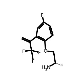 C=C(c1cc(F)ccc1OC[C@H](C)N)C(F)(F)F